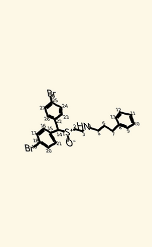 [O-][S+](CCNCCCc1ccccc1)C(c1ccc(Br)cc1)c1ccc(Br)cc1